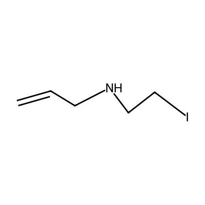 C=CCNCCI